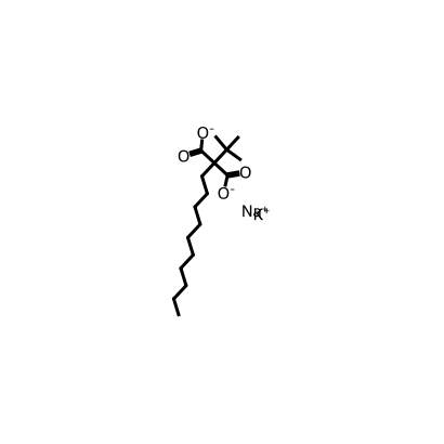 CCCCCCCCCCC(C(=O)[O-])(C(=O)[O-])C(C)(C)C.[K+].[Na+]